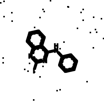 Ic1nc(Nc2ccccc2)c2ccccc2n1